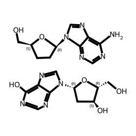 Nc1ncnc2c1ncn2[C@H]1CC[C@@H](CO)O1.OC[C@H]1O[C@@H](n2cnc3c(O)ncnc32)C[C@@H]1O